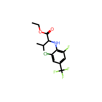 CCOC(=O)C(Nc1c(F)cc(C(F)(F)F)cc1Cl)C(C)C